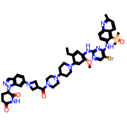 CCc1cc(Nc2ncc(Br)c(Nc3ccc4nc(C)ccc4c3P(C)(C)=O)n2)c(OC)cc1N1CCC(N2CCN(C(=O)C3CN(c4ccc5cnn(C6CCC(=O)NC6=O)c5c4)C3)CC2)CC1